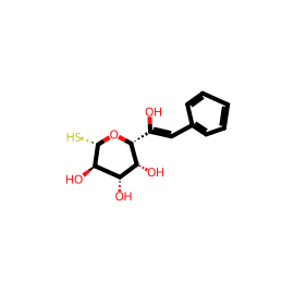 OC(=Cc1ccccc1)[C@H]1O[C@@H](S)[C@H](O)[C@@H](O)[C@H]1O